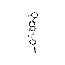 N#Cc1ccc(NCc2nc3cc(N4CCCCC4=O)ccc3[nH]2)cc1